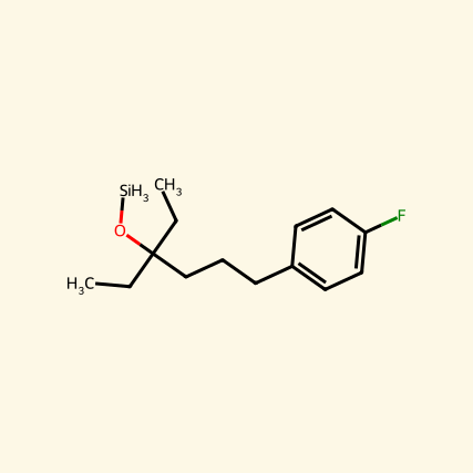 CCC(CC)(CCCc1ccc(F)cc1)O[SiH3]